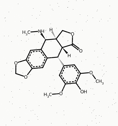 CN[C@@H]1c2cc3c(cc2[C@@H](c2cc(OC)c(O)c(OC)c2)[C@H]2C(=O)OC[C@@H]21)OCO3